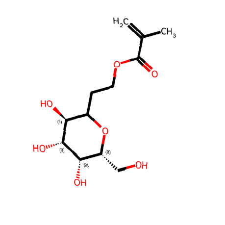 C=C(C)C(=O)OCCC1O[C@H](CO)[C@H](O)[C@H](O)[C@H]1O